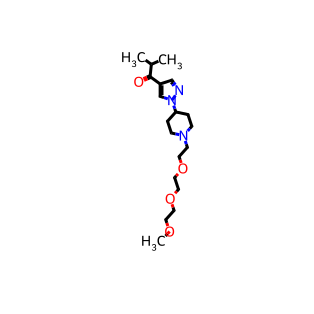 COCCOCCOCCN1CCC(n2cc(C(=O)C(C)C)cn2)CC1